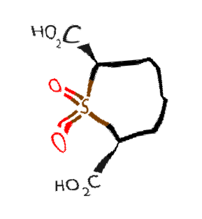 O=C(O)[C@H]1CCC[C@@H](C(=O)O)S1(=O)=O